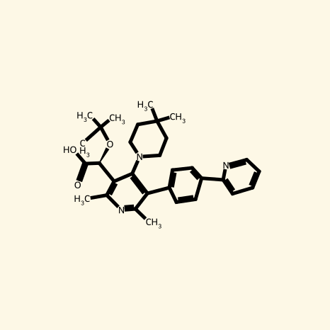 Cc1nc(C)c([C@H](OC(C)(C)C)C(=O)O)c(N2CCC(C)(C)CC2)c1-c1ccc(-c2ccccn2)cc1